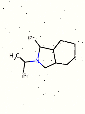 CC(C)C(C)N1CC2CCCCC2C1C(C)C